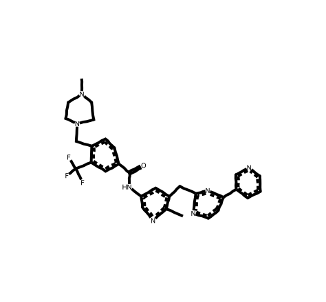 Cc1ncc(NC(=O)c2ccc(CN3CCN(C)CC3)c(C(F)(F)F)c2)cc1Cc1nccc(-c2cccnc2)n1